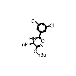 CCCCOC(=S)C(CCC)NC(=O)c1cc(Cl)cc(Cl)c1